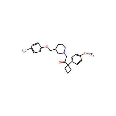 O=C(CN1CCCC(COc2ccc(C(F)(F)F)cc2)C1)C1(c2ccc(OC(F)(F)F)cc2)CCC1